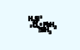 [PbH2].[SiH3]O[SiH3]